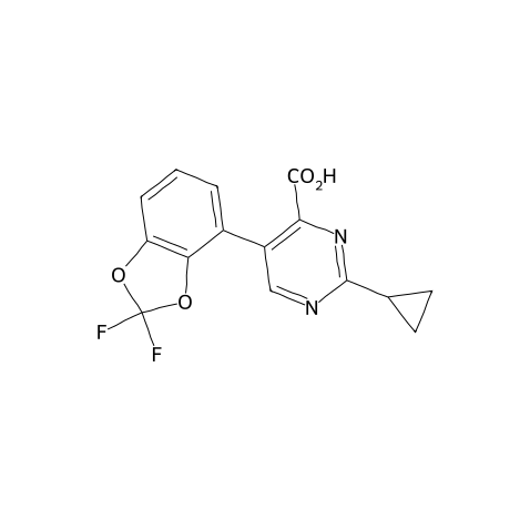 O=C(O)c1nc(C2CC2)ncc1-c1cccc2c1OC(F)(F)O2